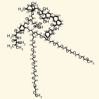 COCCOCCOCCOCCOCCOCCOCCOCCCN(CCCOCCOCCOCCOCCOCCOCCOCCOC)CCCc1cc(NC(=O)[C@H](C)NC(=O)[C@@H](N)C(C)C)ccc1COC(=O)N(CCOC12CC3(C)CC(C)(CC(Cn4ncc(-c5ccc(-c6ccc7cccc(C(=O)Nc8nc9ccccc9s8)c7c6)nc5C(=O)O)c4C)(C3)C1)C2)CCS(=O)(=O)O